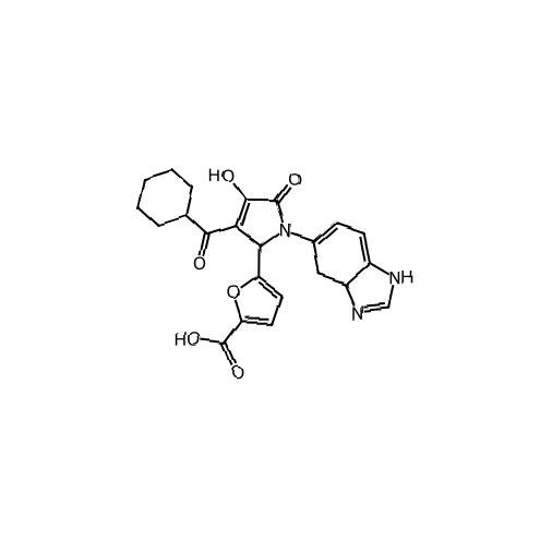 O=C(O)c1ccc(C2C(C(=O)C3CCCCC3)=C(O)C(=O)N2C2=CC=C3NC=NC3C2)o1